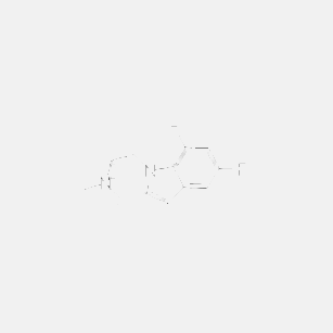 C[C@H](Cn1ccc2cc(F)cc(F)c21)N(C)C